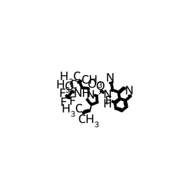 CC(C)=C[C@@H]1C[C@@H](C(=O)NC(C#N)c2cncc3cccc(F)c23)N(C(=O)[C@@H](NC(=O)C(F)(F)F)C(C)(C)C)C1